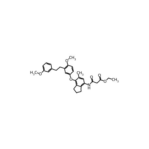 CCOC(=O)CC(=O)Nc1cc(C)c(Oc2ccc(OC)c(CCc3cccc(OC)c3)c2)c2c1CCC2